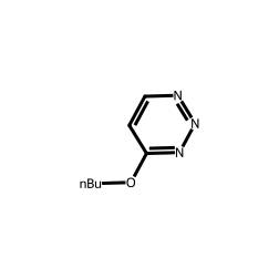 CCCCOc1ccnnn1